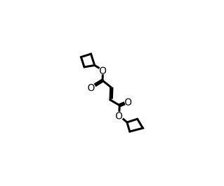 O=C(C=CC(=O)OC1CCC1)OC1CCC1